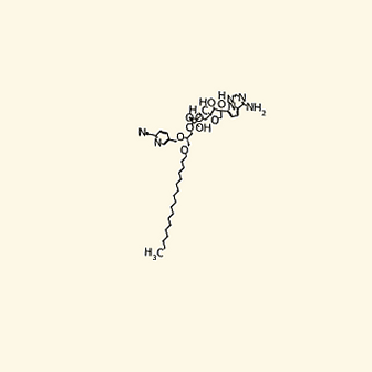 CCCCCCCCCCCCCCCCCCOC[C@H](COP(=O)(O)OC[C@@]1(C)OC[C@](O)(c2ccc3c(N)ncnn23)[C@@H]1O)OCc1ccc(C#N)nc1